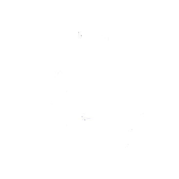 C=C(C)NC(C(=O)OC)c1cc(O)ccc1CC(=O)[O-].[Na+]